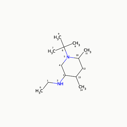 CCNC1CN(C(C)(C)C)C(C)CC1C